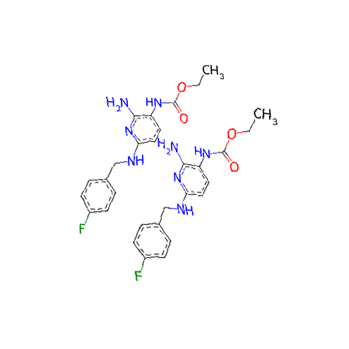 CCOC(=O)Nc1ccc(NCc2ccc(F)cc2)nc1N.CCOC(=O)Nc1ccc(NCc2ccc(F)cc2)nc1N